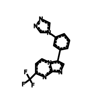 FC(F)(F)c1ccn2c(-c3cccc(-n4cnnc4)c3)cnc2n1